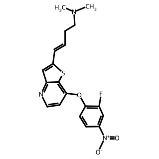 CN(C)CCC=Cc1cc2nccc(Oc3ccc([N+](=O)[O-])cc3F)c2s1